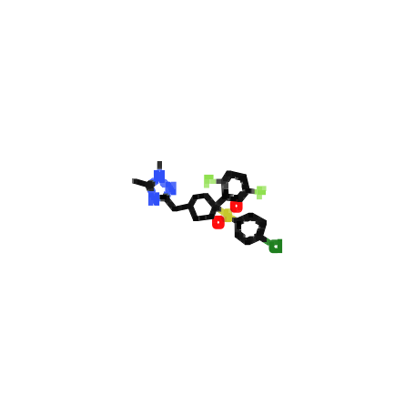 Cc1nc(CC2CCC(c3cc(F)ccc3F)(S(=O)(=O)c3ccc(Cl)cc3)CC2)nn1C